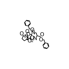 NC(CN(OC(=O)c1ccccc1)C(=O)ON1C(=O)CCC1=O)C(=O)OCc1ccccc1